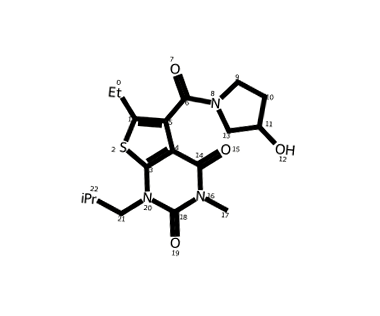 CCc1sc2c(c1C(=O)N1CCC(O)C1)c(=O)n(C)c(=O)n2CC(C)C